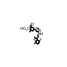 CCOc1cc(-c2cc(NCCc3c(C)sc4c(C)ccc(F)c34)ncn2)cc(C)c1C(=O)O